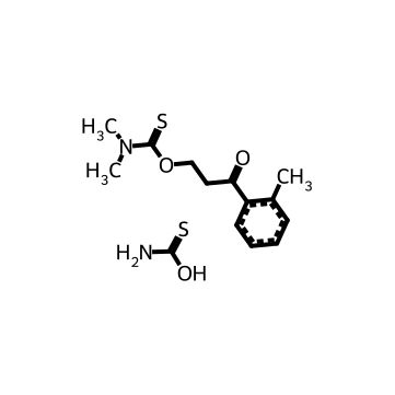 Cc1ccccc1C(=O)CCOC(=S)N(C)C.NC(O)=S